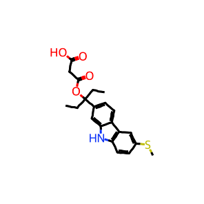 CCC(CC)(OC(=O)CC(=O)O)c1ccc2c(c1)[nH]c1ccc(SC)cc12